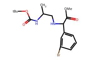 COC(=O)C(NCC(C)NC(=O)OC(C)(C)C)c1cccc(Br)c1